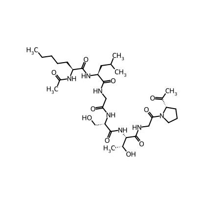 CCCCC[C@H](NC(C)=O)C(=O)N[C@@H](CC(C)C)C(=O)NCC(=O)N[C@@H](CO)C(=O)N[C@H](C(=O)NCC(=O)N1CCC[C@H]1C(C)=O)[C@@H](C)O